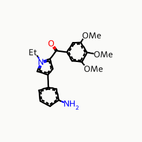 CCn1cc(-c2cccc(N)c2)cc1C(=O)c1cc(OC)c(OC)c(OC)c1